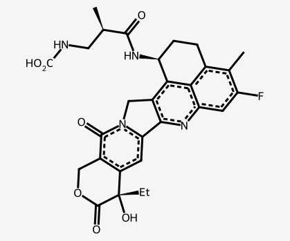 CC[C@@]1(O)C(=O)OCc2c1cc1n(c2=O)Cc2c-1nc1cc(F)c(C)c3c1c2[C@@H](NC(=O)[C@H](C)CNC(=O)O)CC3